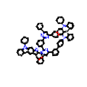 c1ccc(-c2cc(-c3ccccc3)nc(-c3ccc(-n4c5ccccc5c5cc6c7ccccc7n(-c7ccccc7)c6cc54)c(-c4nc(-c5ccccc5)cc(-c5cccc(-c6ccc(N7c8ccccc8B8c9ccccc9N(c9ccccc9)c9cccc7c98)cc6)c5)n4)c3)n2)cc1